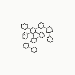 c1ccc(-c2cccc(-c3cccc(-c4cc(-c5ccccc5)c(-c5cccc(-c6cccc(-c7ccccc7)c6)c5)c5c6ccccc6c6ccccc6c45)c3)c2)cc1